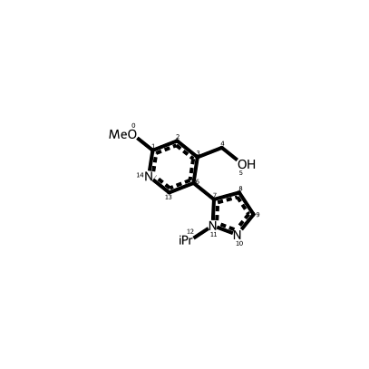 COc1cc(CO)c(-c2ccnn2C(C)C)cn1